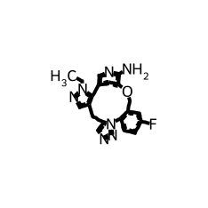 CCn1ncc2c1-c1cnc(N)c(c1)OCc1cc(F)ccc1-n1nncc1C2